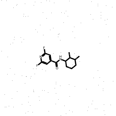 CC1CCCC(NC(=O)c2cc(F)nc(F)c2)C1C